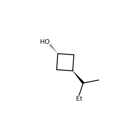 CCC(C)[C@H]1C[C@H](O)C1